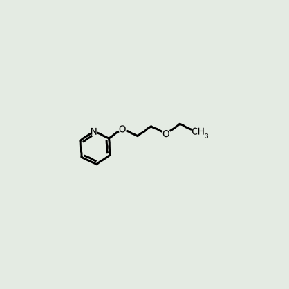 CCOCCOc1ccccn1